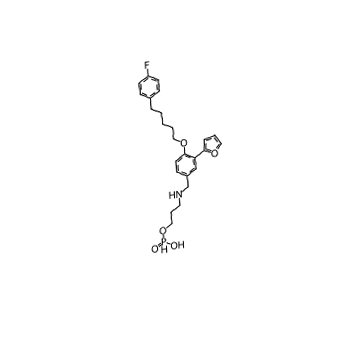 O=[PH](O)OCCCNCc1ccc(OCCCCCc2ccc(F)cc2)c(-c2ccco2)c1